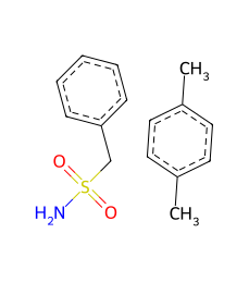 Cc1ccc(C)cc1.NS(=O)(=O)Cc1ccccc1